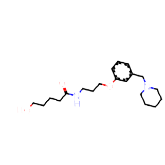 O=C(CCCCO)NCCCOc1cccc(CN2CCCCC2)c1